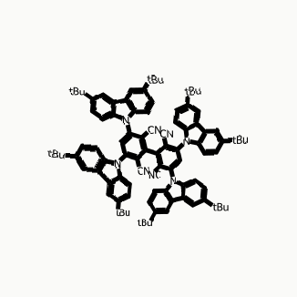 CC(C)(C)c1ccc2c(c1)c1cc(C(C)(C)C)ccc1n2-c1cc(-n2c3ccc(C(C)(C)C)cc3c3cc(C(C)(C)C)ccc32)c(C#N)c(-c2c(C#N)c(-n3c4ccc(C(C)(C)C)cc4c4cc(C(C)(C)C)ccc43)cc(-n3c4ccc(C(C)(C)C)cc4c4cc(C(C)(C)C)ccc43)c2C#N)c1C#N